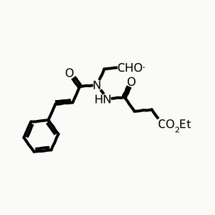 CCOC(=O)CCC(=O)NN(C[C]=O)C(=O)C=Cc1ccccc1